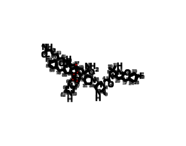 C[C@@H]1CN(CC(=O)N2CC(C)(C)c3[nH]c(=O)c(Cc4ccc(F)cc4)cc32)[C@@H](CN2CCC[C@H](C(CCCCCCCCCCCC(N)=O)(C(N)=O)[C@H]3CCCN(C[C@H]4CN[C@H](C)CN4CC(=O)N4CC(C)(C)c5[nH]c(=O)c(Cc6ccc(F)cc6)cc54)C3)C2)CN1